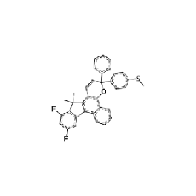 CSc1ccc(C2(c3ccccc3)C=Cc3c4c(c5ccccc5c3O2)-c2cc(F)cc(F)c2C4(C)C)cc1